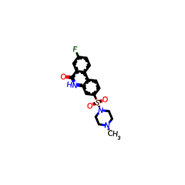 CN1CCN(S(=O)(=O)c2ccc3c(c2)[nH]c(=O)c2cc(F)ccc23)CC1